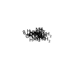 CCNC(=O)C(NC(=O)[C@H](CCN)NC(=O)[C@H](CCN)NC(=O)[C@H](CC(C)C)NC(=O)[C@@H](Cc1ccccc1)NC(=O)[C@H](CCN)NC(=O)CNC(=O)[C@H](CCN)NC(=O)CNC(=O)CCc1ccc2ccccc2c1)C(C)O